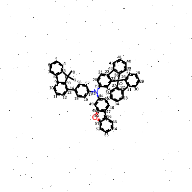 CC1(C)c2ccccc2-c2cccc(-c3ccc(N(c4ccc5c(c4)C4(c6ccccc6-c6ccccc64)c4ccccc4-5)c4ccc5c(c4)oc4ccccc45)cc3)c21